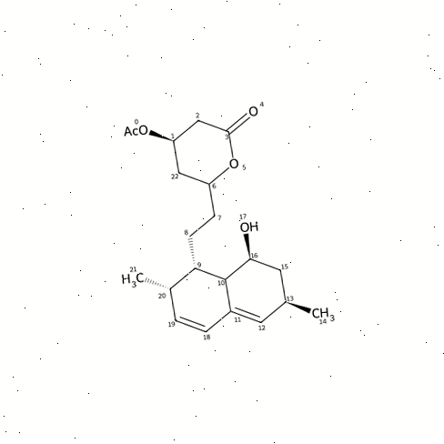 CC(=O)O[C@H]1CC(=O)OC(CC[C@@H]2C3C(=C[C@H](C)C[C@@H]3O)C=C[C@@H]2C)C1